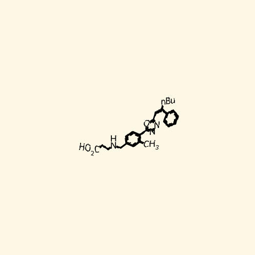 CCCCC(=Cc1nnc(-c2ccc(CNCCC(=O)O)cc2C)o1)c1ccccc1